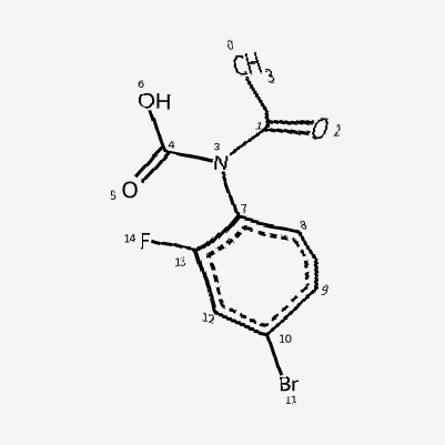 CC(=O)N(C(=O)O)c1ccc(Br)cc1F